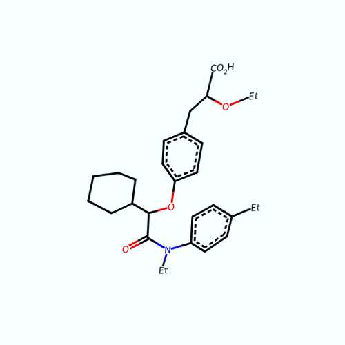 CCOC(Cc1ccc(OC(C(=O)N(CC)c2ccc(CC)cc2)C2CCCCC2)cc1)C(=O)O